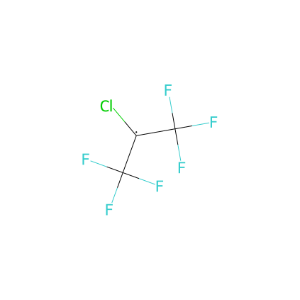 FC(F)(F)[C](Cl)C(F)(F)F